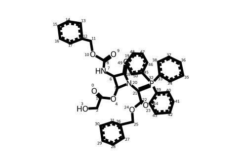 O=C(CO)OC1C(NC(=O)OCc2ccccc2)C(=O)N1C(C(=O)OCc1ccccc1)=P(c1ccccc1)(c1ccccc1)c1ccccc1